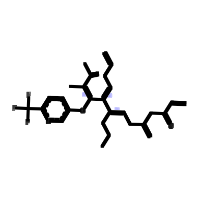 C=CC/C=C(C(=C/CC(=C)CC(=O)C=C)/CCC)\C(Oc1ccc(C(F)(F)F)nc1)=C(\C)C(=C)C